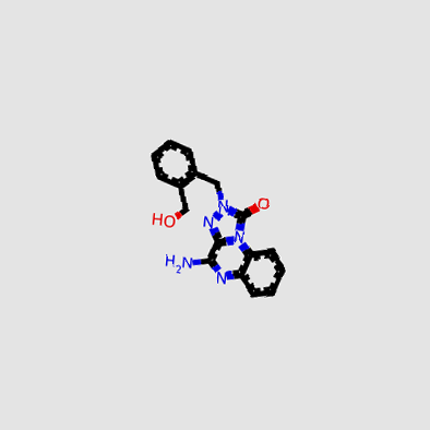 Nc1nc2ccccc2n2c(=O)n(Cc3ccccc3CO)nc12